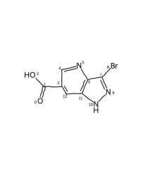 O=C(O)c1cnc2c(Br)n[nH]c2c1